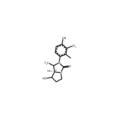 Cc1c(N2C(=O)N3CCC(O)[C@H]3C2C(F)(F)F)ccc(C#N)c1C(F)(F)F